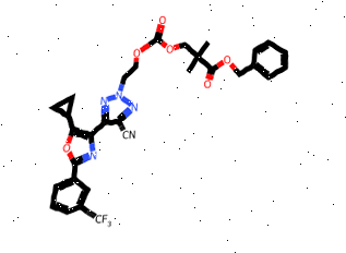 CC(C)(COC(=O)OCCn1nc(C#N)c(-c2nc(-c3cccc(C(F)(F)F)c3)oc2C2CC2)n1)C(=O)OCc1ccccc1